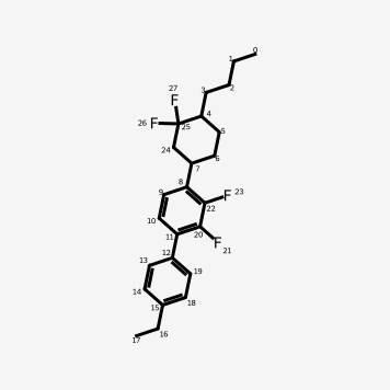 CCCCC1CCC(c2ccc(-c3ccc(CC)cc3)c(F)c2F)CC1(F)F